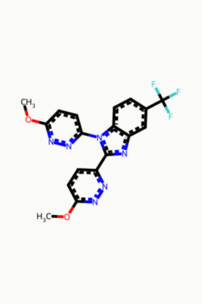 COc1ccc(-c2nc3cc(C(F)(F)F)ccc3n2-c2ccc(OC)nn2)nn1